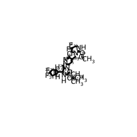 COC[C@H](c1cc2nc([C@@H](NC(=O)OC(C)(C)C)C3[C@H]4CC(F)(F)C[C@@H]34)cn2nc1Cl)N1CC(F)(F)CNC1=O